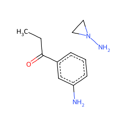 CCC(=O)c1cccc(N)c1.NN1CC1